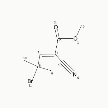 COC(=O)C(C#N)=CC(C)(C)Br